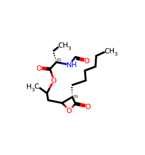 CCCCCC[C@@H]1C(=O)OC1CC(C)OC(=O)[C@H](CC)NC=O